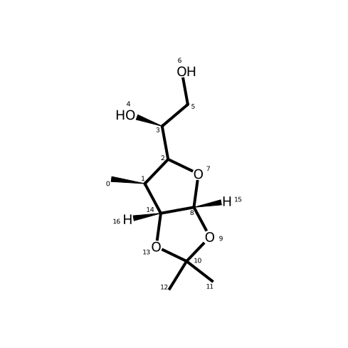 C[C@H]1C([C@@H](O)CO)O[C@@H]2OC(C)(C)O[C@@H]21